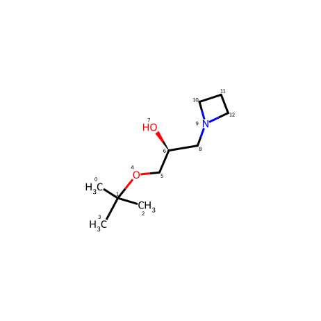 CC(C)(C)OC[C@@H](O)CN1CCC1